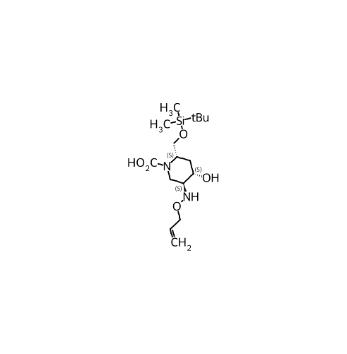 C=CCON[C@H]1CN(C(=O)O)[C@H](CO[Si](C)(C)C(C)(C)C)C[C@@H]1O